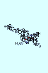 COc1cc(N=Nc2cc3nn(-c4ccc(S(=O)(=O)O)cc4)nc3cc2S(=O)(=O)O)c(NC(C)=O)cc1/N=N\c1cc(OC)c(/N=N\c2c(S(=O)(=O)O)cc3cc(NC=O)ccc3c2O)cc1C